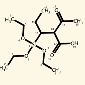 CCO[Si](OCC)(OCC)C(CC)C(C(C)=O)C(=O)O